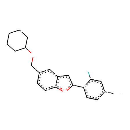 O=Cc1ccc(-c2cc3cc(COC4CCCCC4)ccc3o2)c(F)c1